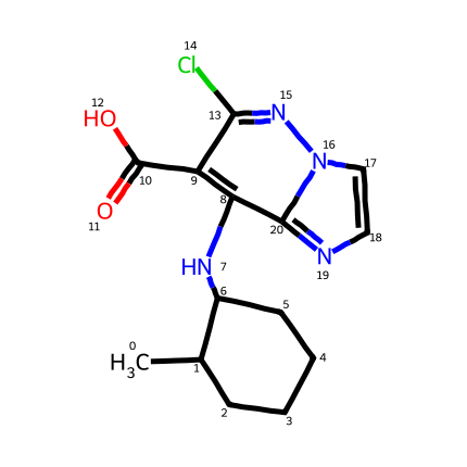 CC1CCCCC1Nc1c(C(=O)O)c(Cl)nn2ccnc12